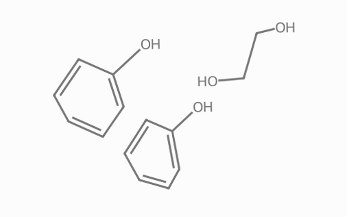 OCCO.Oc1ccccc1.Oc1ccccc1